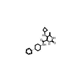 C=C1NC(=O)NC(C(=O)N[C@H]2CC[C@@H](c3ccccc3)CC2)=C1NC1CCC1